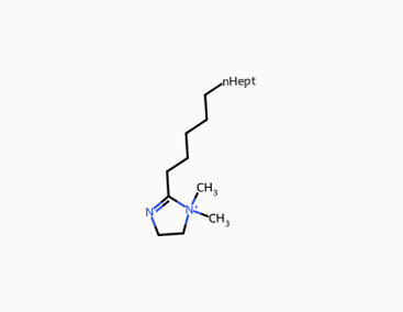 CCCCCCCCCCCCC1=NCC[N+]1(C)C